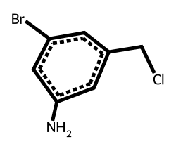 Nc1cc(Br)cc(CCl)c1